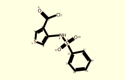 O=C(Cl)c1cscc1NS(=O)(=O)c1ccccc1